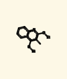 CCOc1nc2ccccc2c(OCC)c1C